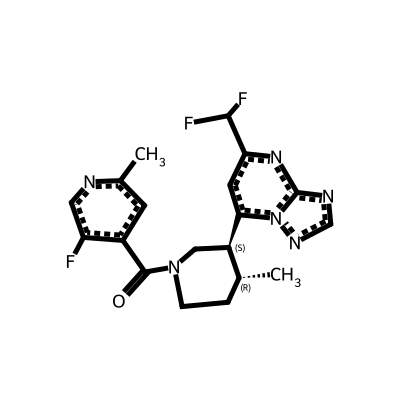 Cc1cc(C(=O)N2CC[C@@H](C)[C@H](c3cc(C(F)F)nc4ncnn34)C2)c(F)cn1